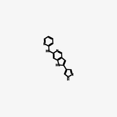 c1ccc(Nc2cc3[nH]c(-c4cn[nH]c4)cc3cn2)nc1